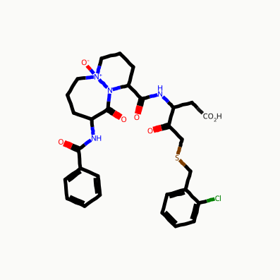 O=C(O)CC(NC(=O)C1CCC[N+]2([O-])CCCC(NC(=O)c3ccccc3)C(=O)N12)C(=O)CSCc1ccccc1Cl